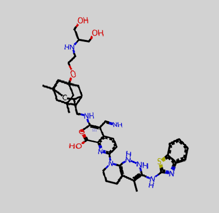 CC1=C(Nc2nc3ccccc3s2)NNC2=C1CCCN2c1ccc(/C(C=N)=C(\C)NCC2CC3(C)CC4(C)CC2CC(OCCNC(CO)CO)(C3)C4)c(C(=O)O)n1